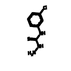 NNC(=S)Nc1cccc(Cl)c1